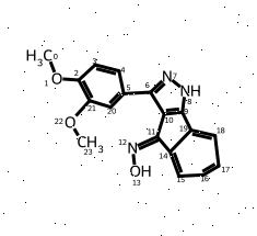 COc1ccc(-c2n[nH]c3c2/C(=N/O)c2ccccc2-3)cc1OC